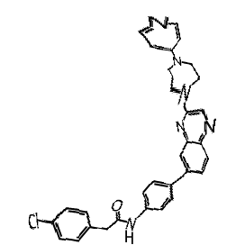 O=C(Cc1ccc(Cl)cc1)Nc1ccc(-c2ccc3ncc(N4CCN(c5ccncc5)CC4)nc3c2)cc1